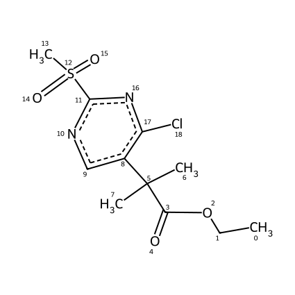 CCOC(=O)C(C)(C)c1cnc(S(C)(=O)=O)nc1Cl